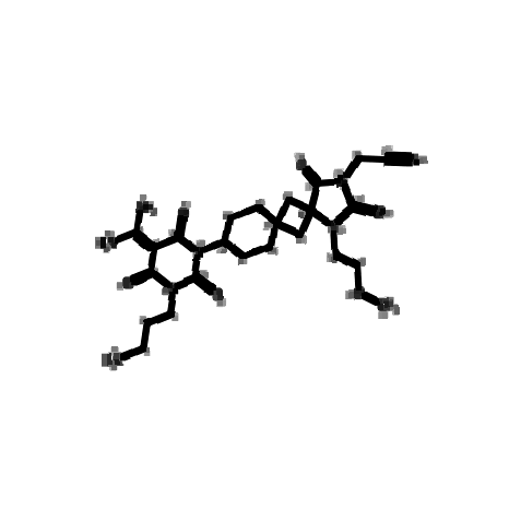 CCCCN1C(=O)C(=C(N)N)C(=O)N(C2CCC3(CC2)CC2(C3)C(=O)N(CC#N)C(=O)N2CCOC)C1=O